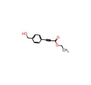 CCOC(=O)C#Cc1ccc(CO)cc1